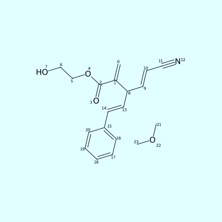 C=C(C(=O)OCCO)C(C=CC#N)C=Cc1ccccc1.COC